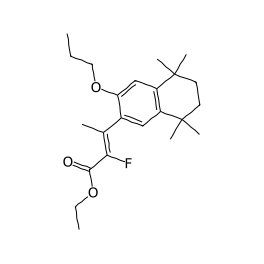 CCCOc1cc2c(cc1C(C)=C(F)C(=O)OCC)C(C)(C)CCC2(C)C